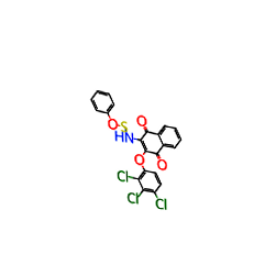 O=C1C(NSOc2ccccc2)=C(Oc2ccc(Cl)c(Cl)c2Cl)C(=O)c2ccccc21